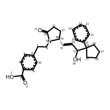 O=C(O)c1ccc(CCN2C(=O)CC[C@@H]2C=CC(O)C2(c3ccccc3)CCCC2)cc1